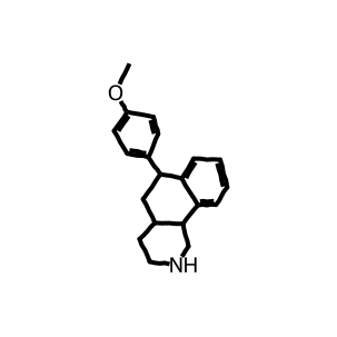 COc1ccc(C2CC3CCNCC3c3ccccc32)cc1